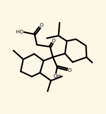 CC1CCC(C(C)C)C(C(C(=O)O)(C(=O)CC(=O)O)C2CC(C)CCC2C(C)C)C1